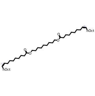 CCCCCCCC/C=C\CCCCCCCC(=O)OCCCCCCCCCOC(=O)CCCCCCC/C=C\CCCCCCCC